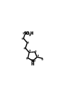 CC1CC(CCCS(=O)(=O)O)CN1